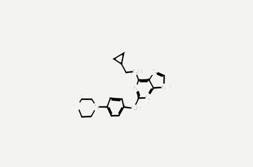 c1nc2c(NCC3CC3)nc(Nc3ccc(N4CCOCC4)cc3)nc2[nH]1